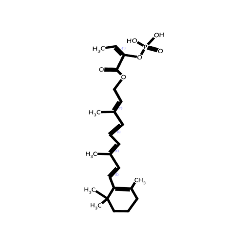 C/C=C(/OP(=O)(O)O)C(=O)OC/C=C(C)/C=C/C=C(C)/C=C/C1=C(C)CCCC1(C)C